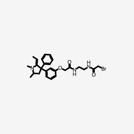 CC=C1N(C)C(C)CC1(c1ccccc1)c1cccc(OCC(=O)NCCNC(=O)CBr)c1